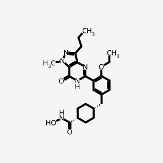 CCCc1nn(C)c2c(=O)[nH]c(-c3cc(C[C@H]4CC[C@@H](C(=O)NO)CC4)ccc3OCC)nc12